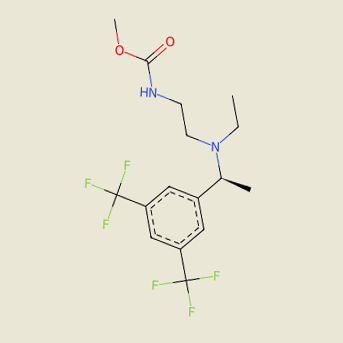 CCN(CCNC(=O)OC)[C@@H](C)c1cc(C(F)(F)F)cc(C(F)(F)F)c1